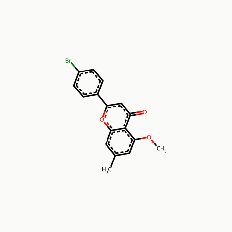 COc1cc(C)cc2oc(-c3ccc(Br)cc3)cc(=O)c12